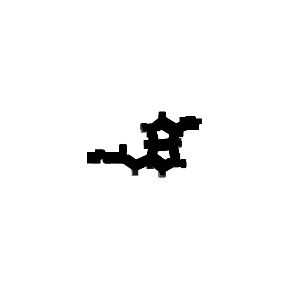 CCCCCCc1csc2c(Br)csc12